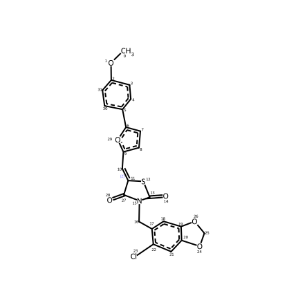 COc1ccc(-c2ccc(/C=C3\SC(=O)N(Cc4cc5c(cc4Cl)OCO5)C3=O)o2)cc1